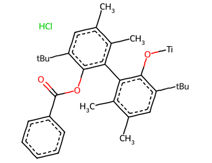 Cc1cc(C(C)(C)C)c([O][Ti])c(-c2c(C)c(C)cc(C(C)(C)C)c2OC(=O)c2ccccc2)c1C.Cl